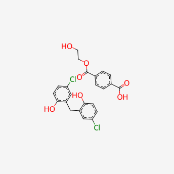 O=C(O)c1ccc(C(=O)OCCO)cc1.Oc1ccc(Cl)cc1Cc1cc(Cl)ccc1O